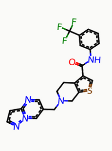 O=C(Nc1cccc(C(F)(F)F)c1)c1csc2c1CCN(Cc1cnc3ccnn3c1)C2